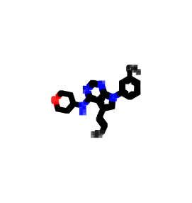 CCC/C=C/c1cn(-c2cccc(C)c2)c2ncnc(NC3CCOCC3)c12